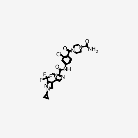 Cn1c(-c2cn(C3CC3)nc2C(F)(F)F)cnc1C(=O)Nc1ccc(C(=O)N2CCN(C(N)=O)CC2)c(Cl)c1